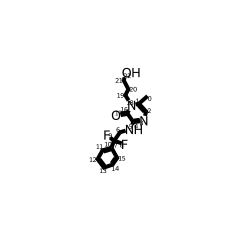 Cc1cnc(NCC(F)(F)c2ccccc2)c(=O)n1CCCO